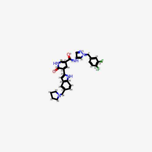 O=C(Nc1cnn(Cc2ccc(F)c(F)c2)c1)c1c[nH]c(=O)c(-c2cc3cc(CN4CCCC4)ccc3[nH]2)c1